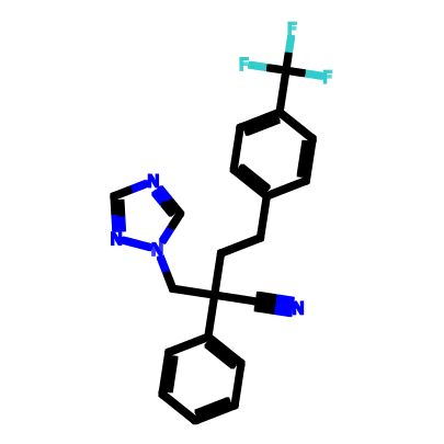 N#CC(CCc1ccc(C(F)(F)F)cc1)(Cn1cncn1)c1ccccc1